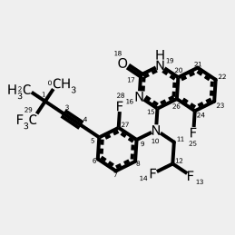 CC(C)(C#Cc1cccc(N(CC(F)F)c2nc(=O)[nH]c3cccc(F)c23)c1F)C(F)(F)F